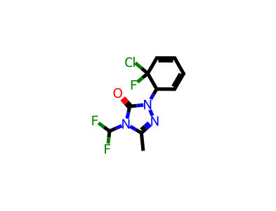 Cc1nn(C2C=CC=CC2(F)Cl)c(=O)n1C(F)F